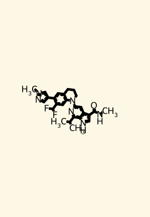 CNC(=O)c1c[nH]c2c(C(C)C)nc(N3CCCc4cc(-c5cnn(C)c5)c(C(F)F)cc43)cc12